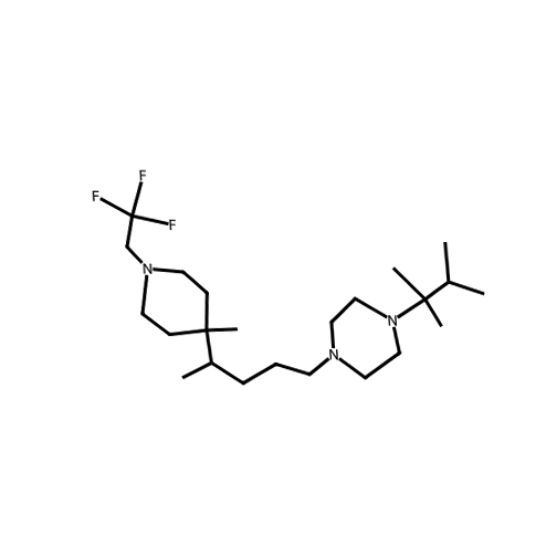 CC(CCCN1CCN(C(C)(C)C(C)C)CC1)C1(C)CCN(CC(F)(F)F)CC1